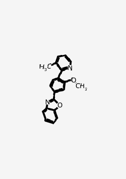 COc1cc(-c2nc3ccccc3o2)ccc1-c1ncccc1C